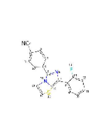 N#Cc1ccc(-c2nc(-c3ccccc3F)c3sccn23)cc1